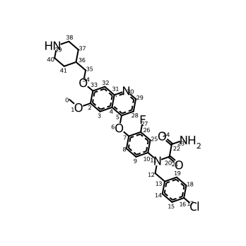 COc1cc2c(Oc3ccc(N(Cc4ccc(Cl)cc4)C(=O)C(N)=O)cc3F)ccnc2cc1OCC1CCNCC1